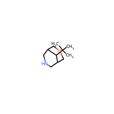 CC(C)(C)C1C2CNCC1COC2